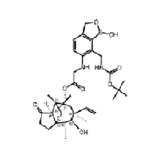 C=C[C@]1(C)C[C@@H](OC(=O)CNc2ccc3c(c2CNC(=O)OC(C)(C)C)B(O)OC3)[C@]2(C)[C@H](C)CC[C@]3(CCC(=O)[C@H]32)[C@@H](C)[C@@H]1O